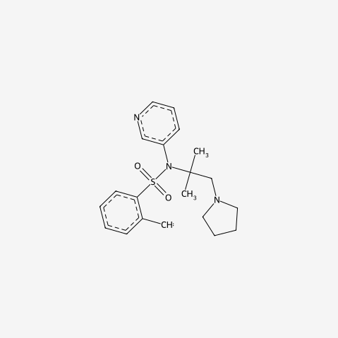 [CH]c1ccccc1S(=O)(=O)N(c1cccnc1)C(C)(C)CN1CCCC1